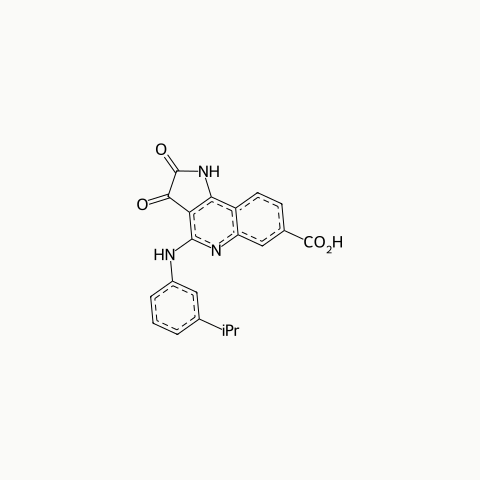 CC(C)c1cccc(Nc2nc3cc(C(=O)O)ccc3c3c2C(=O)C(=O)N3)c1